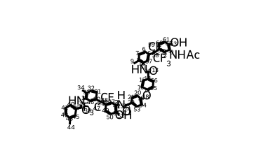 CC(=O)Nc1cc(C(c2ccc(C)c(NC(=O)c3ccc(Oc4ccc(C(=O)Nc5cc(C(c6ccc(C)c(NC(=O)c7cccc(C)c7)c6)(C(F)(F)F)C(F)(F)F)ccc5O)cc4)cc3)c2)(C(F)(F)F)C(F)(F)F)ccc1O